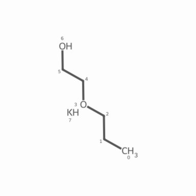 CCCOCCO.[KH]